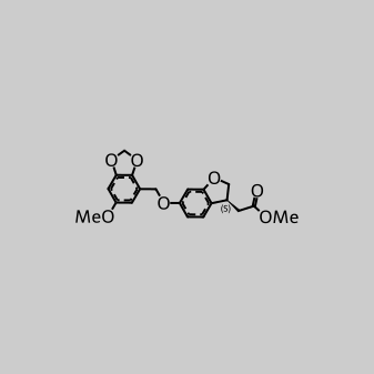 COC(=O)C[C@@H]1COc2cc(OCc3cc(OC)cc4c3OCO4)ccc21